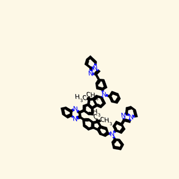 CC1(C)c2cc(-c3nc4ccccc4nc3-c3ccc4c(c3)C(C)(C)c3cc(N(c5ccccc5)c5ccc(-c6cn7ccccc7n6)cc5)ccc3-4)ccc2-c2ccc(N(c3ccccc3)c3ccc(-c4cn5ccccc5n4)cc3)cc21